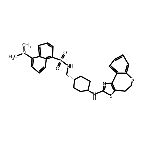 CN(C)c1cccc2c(S(=O)(=O)NC[C@H]3CC[C@H](Nc4nc5c(s4)CCSc4ccccc4-5)CC3)cccc12